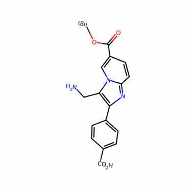 CC(C)(C)OC(=O)c1ccc2nc(-c3ccc(C(=O)O)cc3)c(CN)n2c1